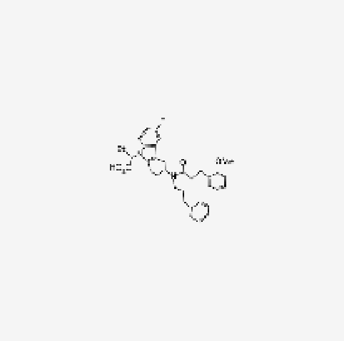 CCC(C(=O)O)n1c2c(c3cc(F)ccc31)CC(N(CCCc1ccccc1)C(=O)CCc1ccccc1OC)CC2